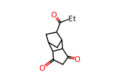 CCC(=O)C1CC2CC1C1C(=O)CC(=O)C21